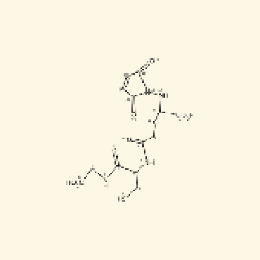 O=C(O)CNC(=O)C(CS)NC(=O)CCC(NN1C(=O)C=CC1=O)C(=O)O